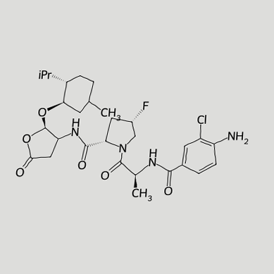 CC1CC[C@@H](C(C)C)[C@H](O[C@@H]2OC(=O)CC2NC(=O)[C@@H]2C[C@H](F)CN2C(=O)[C@H](C)NC(=O)c2ccc(N)c(Cl)c2)C1